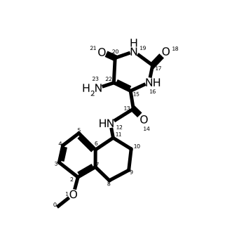 COc1cccc2c1CCCC2NC(=O)c1[nH]c(=O)[nH]c(=O)c1N